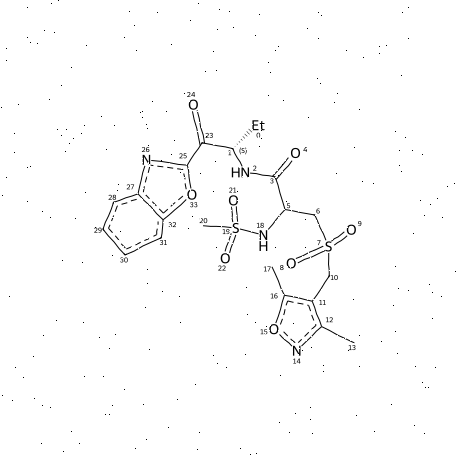 CC[C@H](NC(=O)C(CS(=O)(=O)Cc1c(C)noc1C)NS(C)(=O)=O)C(=O)c1nc2ccccc2o1